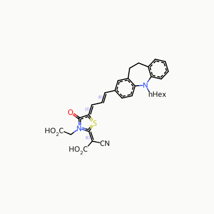 CCCCCCN1c2ccccc2CCc2cc(/C=C/C=c3\s/c(=C(\C#N)C(=O)O)n(CC(=O)O)c3=O)ccc21